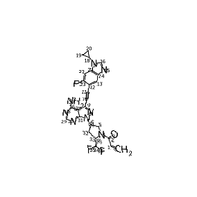 C=CC(=O)N1C[C@@H](n2nc(C#Cc3cc4ncn(C5CC5)c4cc3F)c3c(N)ncnc32)C[C@@H]1C(F)F